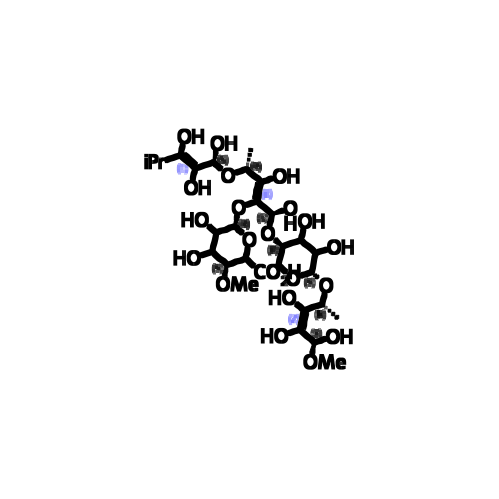 CO[C@@H]1C(C(=O)O)O[C@H](O/C(=C(/O)[C@@H](C)O[C@H](O)/C(O)=C(\O)C(C)C)[C@@H](O)O[C@@H]2CO[C@@H](O[C@H](C)/C(O)=C(/O)[C@@H](O)OC)C(O)C2O)C(O)C1O